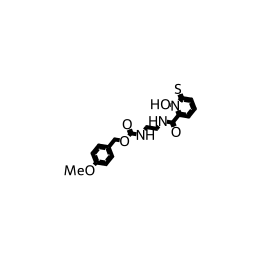 COc1ccc(COC(=O)NCCNC(=O)c2cccc(=S)n2O)cc1